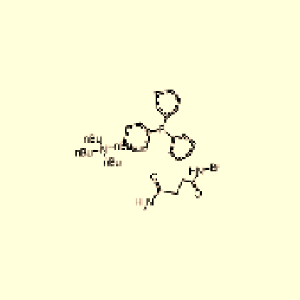 CCCC[N+](CCCC)(CCCC)CCCC.NC(=O)CCC(=O)NBr.[I-].c1ccc(P(c2ccccc2)c2ccccc2)cc1